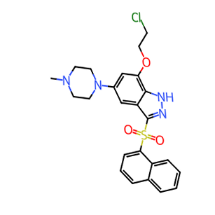 CN1CCN(c2cc(OCCCl)c3[nH]nc(S(=O)(=O)c4cccc5ccccc45)c3c2)CC1